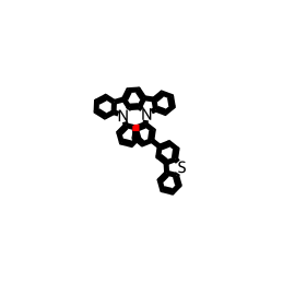 C1=CC2c3ccc4c5ccccc5n(-c5cccc(-c6ccc7sc8ccccc8c7c6)c5)c4c3N(c3ccccc3)C2C=C1